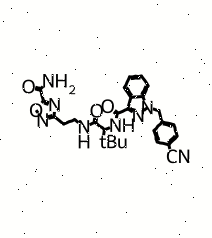 CC(C)(C)C(NC(=O)c1nn(Cc2ccc(C#N)cc2)c2ccccc12)C(=O)NCCc1noc(C(N)=O)n1